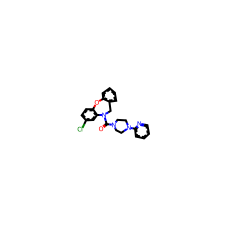 O=C(N1CCN(c2ccccn2)CC1)N1Cc2ccccc2Oc2ccc(Cl)cc21